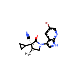 C[C@@H]1CN(c2c[nH]c3ncc(Br)cc23)C(=O)[C@]1(C#N)C1CC1